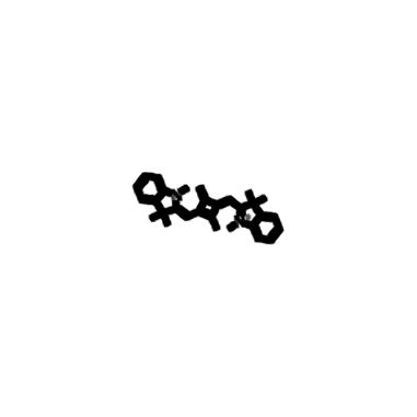 C=C1C(=CC2=[N+](C)c3ccccc3C2(C)C)C(C)=C1C=C1N(C)c2ccccc2C1(C)C